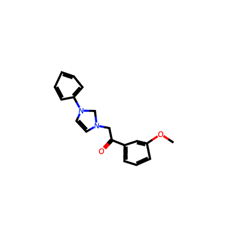 COc1cccc(C(=O)CN2C=CN(c3ccccc3)C2)c1